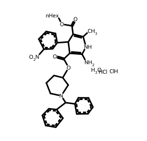 CCCCCCOC(=O)C1=C(C)NC(N)=C(C(=O)OC2CCCN(C(c3ccccc3)c3ccccc3)C2)C1c1cccc([N+](=O)[O-])c1.Cl.Cl.O